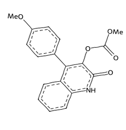 COC(=O)Oc1c(-c2ccc(OC)cc2)c2ccccc2[nH]c1=O